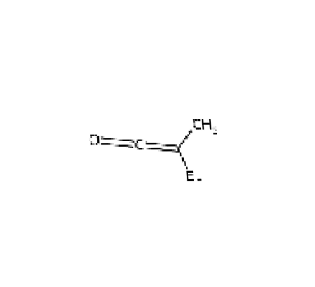 CCC(C)=C=O